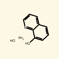 Cl.Oc1cccc2cccnc12.P